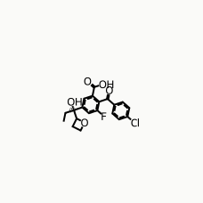 CC[C@](O)(c1cc(F)c(C(=O)c2ccc(Cl)cc2)c(C(=O)O)c1)C1CCO1